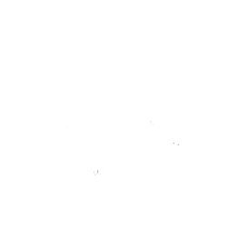 COc1ccc2c(c1)C(C1CCN(c3ncccc3F)CC1)c1ccccc1C=C2